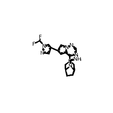 N=CN1C2CCC1CN(c1ncnn3cc(-c4cnn(C(F)F)c4)cc13)C2